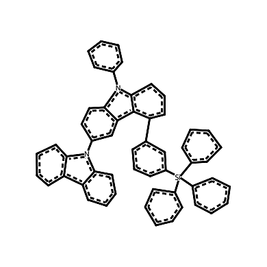 c1ccc(-n2c3ccc(-n4c5ccccc5c5ccccc54)cc3c3c(-c4cccc([Si](c5ccccc5)(c5ccccc5)c5ccccc5)c4)cccc32)cc1